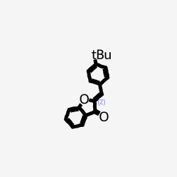 CC(C)(C)c1ccc(/C=C2\Oc3ccccc3C2=O)cc1